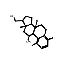 Cc1ccc(O)c2c1C1C(O)CC3(C)C(CO)CCC3[C@@H]1CC2